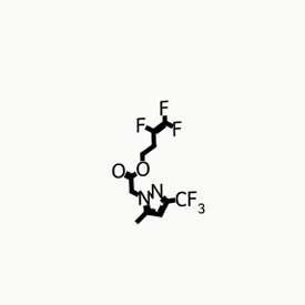 Cc1cc(C(F)(F)F)nn1CC(=O)OCCC(F)=C(F)F